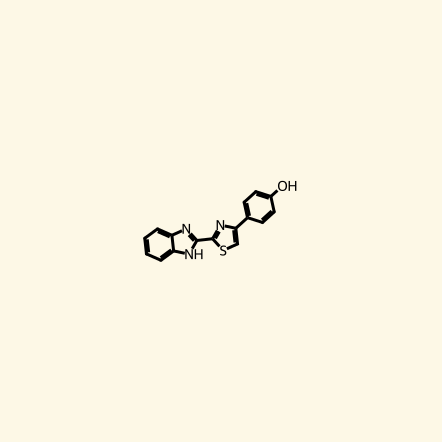 Oc1ccc(-c2csc(-c3nc4ccccc4[nH]3)n2)cc1